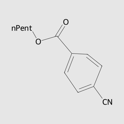 CCCCCOC(=O)c1ccc(C#N)cc1